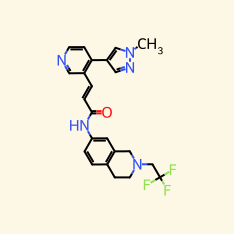 Cn1cc(-c2ccncc2C=CC(=O)Nc2ccc3c(c2)CN(CC(F)(F)F)CC3)cn1